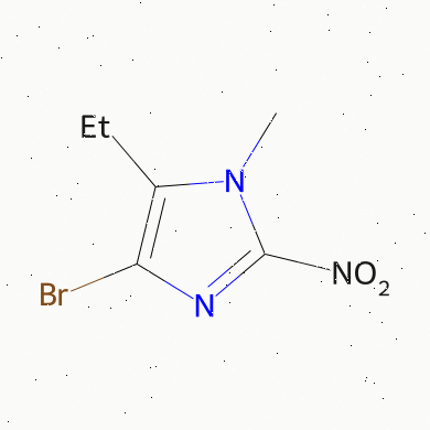 CCc1c(Br)nc([N+](=O)[O-])n1C